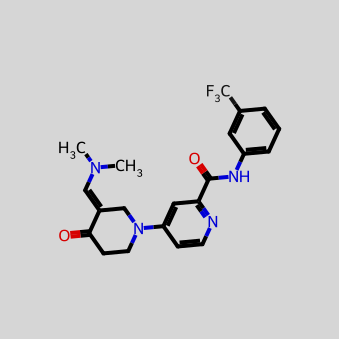 CN(C)/C=C1\CN(c2ccnc(C(=O)Nc3cccc(C(F)(F)F)c3)c2)CCC1=O